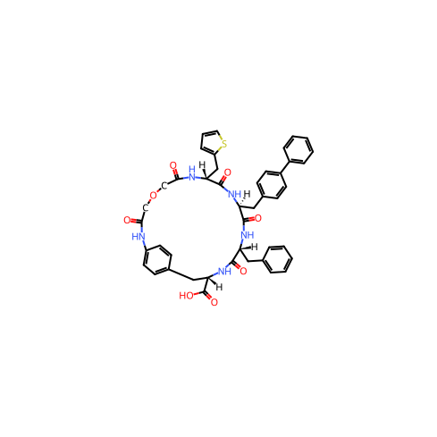 O=C1COCC(=O)N[C@H](Cc2cccs2)C(=O)N[C@@H](Cc2ccc(-c3ccccc3)cc2)C(=O)N[C@H](Cc2ccccc2)C(=O)N[C@H](C(=O)O)Cc2ccc(cc2)N1